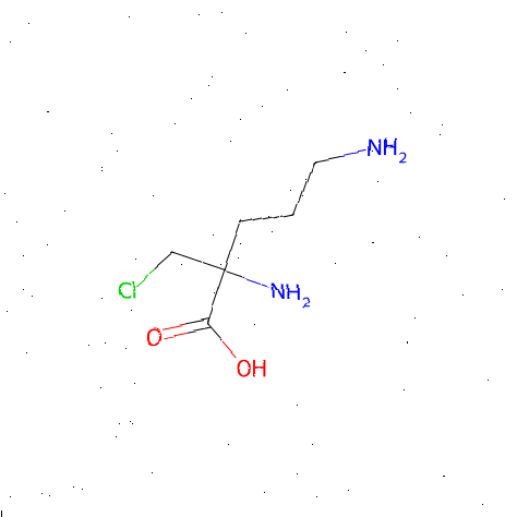 NCCCC(N)(CCl)C(=O)O